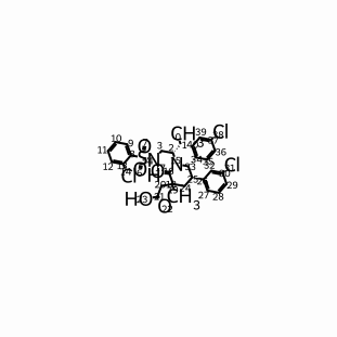 CC[C@@H](CNS(=O)(=O)c1ccccc1Cl)N1C(=O)[C@@](C)(CC(=O)O)C[C@H](c2cccc(Cl)c2)[C@H]1c1ccc(Cl)cc1